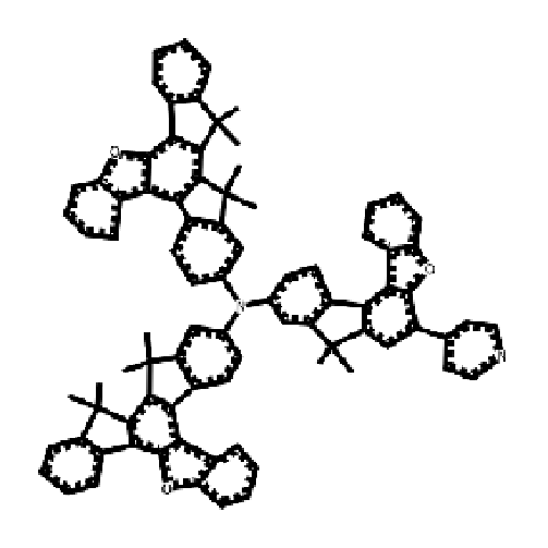 CC1(C)c2cc(N(c3ccc4c(c3)C(C)(C)c3c5c(c6oc7ccccc7c6c3-4)-c3ccccc3C5(C)C)c3ccc4c(c3)C(C)(C)c3c5c(c6oc7ccccc7c6c3-4)-c3ccccc3C5(C)C)ccc2-c2c1cc(-c1ccncc1)c1oc3ccccc3c21